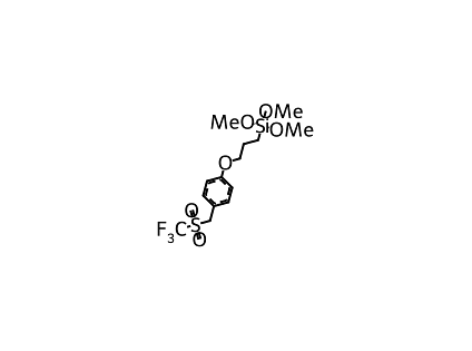 CO[Si](CCCOc1ccc(CS(=O)(=O)C(F)(F)F)cc1)(OC)OC